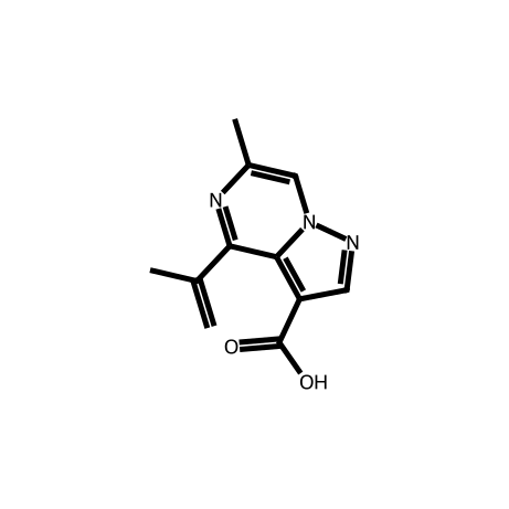 C=C(C)c1nc(C)cn2ncc(C(=O)O)c12